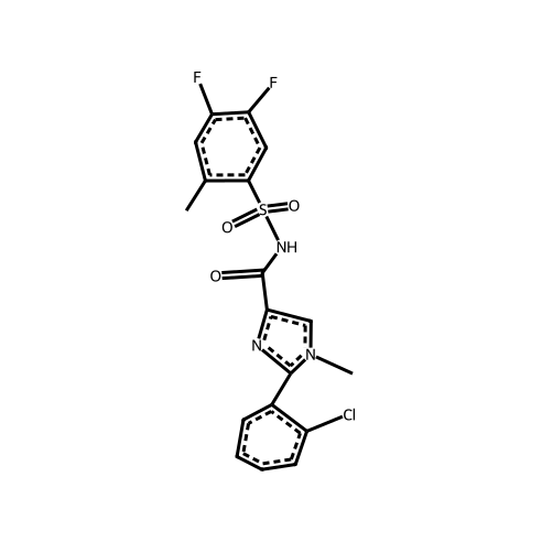 Cc1cc(F)c(F)cc1S(=O)(=O)NC(=O)c1cn(C)c(-c2ccccc2Cl)n1